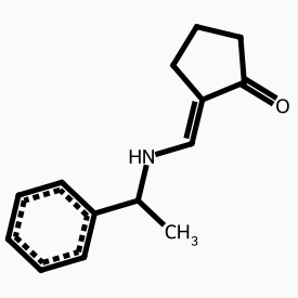 CC(NC=C1CCCC1=O)c1ccccc1